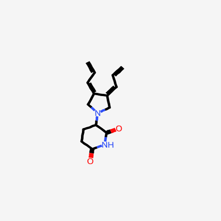 C=C/C=C1/CN(C2CCC(=O)NC2=O)C/C1=C/C=C